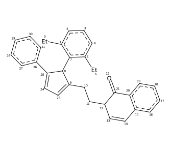 CCc1cccc(CC)c1C1C(CCC2C=Cc3ccccc3C2=O)=CC=C1c1ccccc1